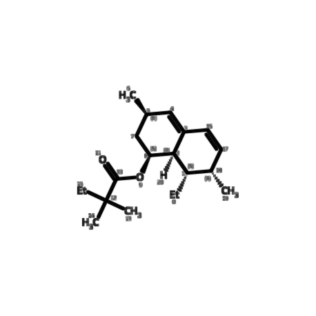 CC[C@@H]1[C@@H]2C(=C[C@H](C)C[C@@H]2OC(=O)C(C)(C)CC)C=C[C@@H]1C